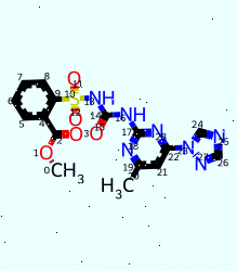 COC(=O)c1ccccc1S(=O)(=O)NC(=O)Nc1nc(C)cc(-n2cncn2)n1